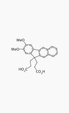 COc1cc2c(cc1OC)C(CCC(=O)O)(CCC(=O)O)c1cc3ccccc3cc1-2